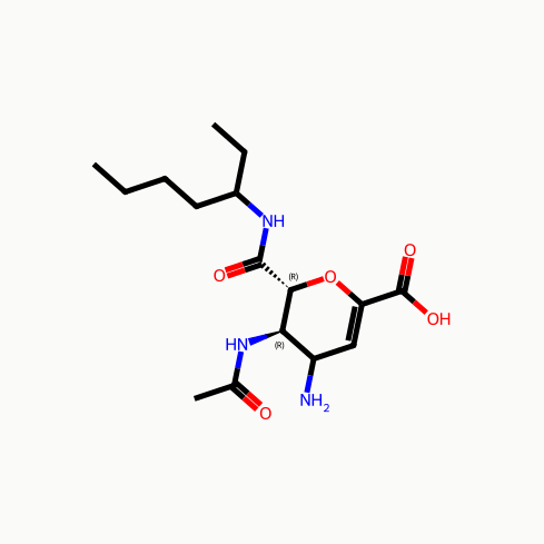 CCCCC(CC)NC(=O)[C@@H]1OC(C(=O)O)=CC(N)[C@H]1NC(C)=O